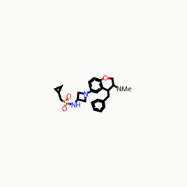 CNC1COc2ccc(N3CC(NS(=O)(=O)CC4CC4)C3)cc2C1Cc1ccccc1